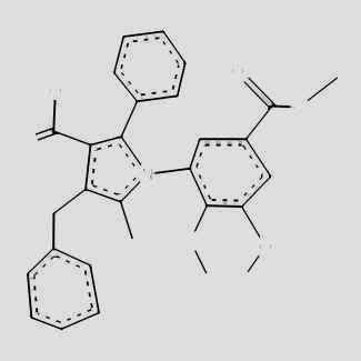 COC(=O)c1cc(OC)c(OC)c(-n2c(C)c(Cc3ccccc3)c(C(=O)O)c2-c2ccccc2)c1